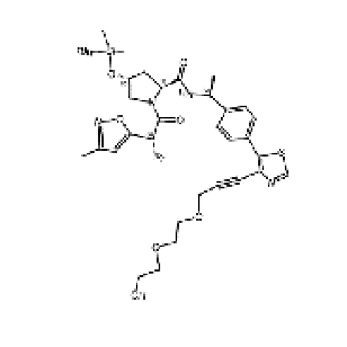 Cc1cc([C@H](C(=O)N2C[C@H](O[Si](C)(C)C(C)(C)C)C[C@H]2C(=O)N[C@@H](C)c2ccc(-c3scnc3C#CCOCCOCCO)cc2)C(C)C)on1